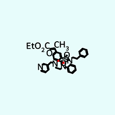 CCOC(=O)c1oc2ccc(S(=O)(=O)N(CCc3ccccc3)c3ccccc3N3CCN(Cc4cccnc4)CC3)cc2c1C